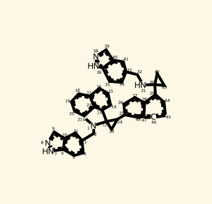 CN(Cc1ccc2[nH]ncc2c1)C1(c2cccc3ccccc23)CC1c1ccc2c(C3(NCc4ccc5[nH]ncc5c4)CC3)cccc2c1